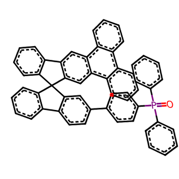 O=P(c1ccccc1)(c1ccccc1)c1ccc(-c2ccc3c(c2)C2(c4ccccc4-3)c3ccccc3-c3cc4c5ccccc5c5ccccc5c4cc32)cc1